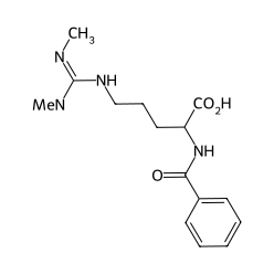 C/N=C(/NC)NCCCC(NC(=O)c1ccccc1)C(=O)O